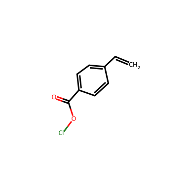 C=Cc1ccc(C(=O)OCl)cc1